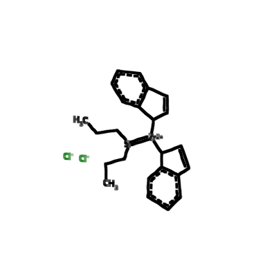 CCC[Si](CCC)=[Zr+2]([CH]1C=Cc2ccccc21)[CH]1C=Cc2ccccc21.[Cl-].[Cl-]